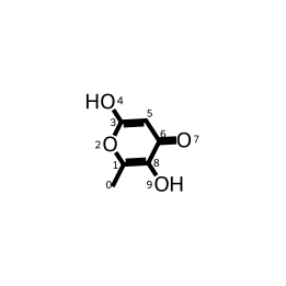 Cc1oc(O)cc(=O)c1O